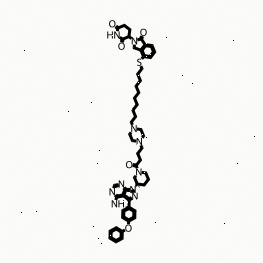 Nc1ncnc2c1c(-c1ccc(Oc3ccccc3)cc1)nn2[C@@H]1CCCN(C(=O)CCCN2CCN(CCCCCCCCCCSc3cccc4c3CN(C3CCC(=O)NC3=O)C4=O)CC2)C1